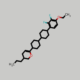 CCCC1CC=C(C2CCC(C3CCC(c4ccc(OCC)c(F)c4F)CC3)CC2)OC1